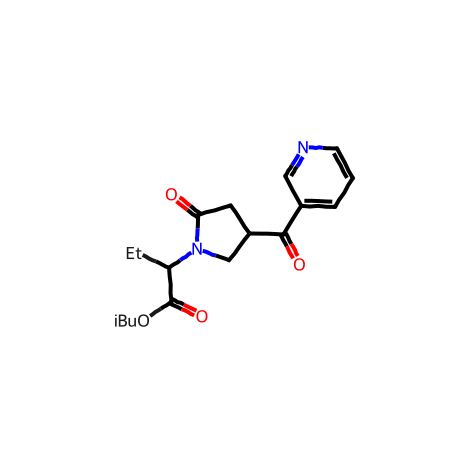 CCC(C(=O)OCC(C)C)N1CC(C(=O)c2cccnc2)CC1=O